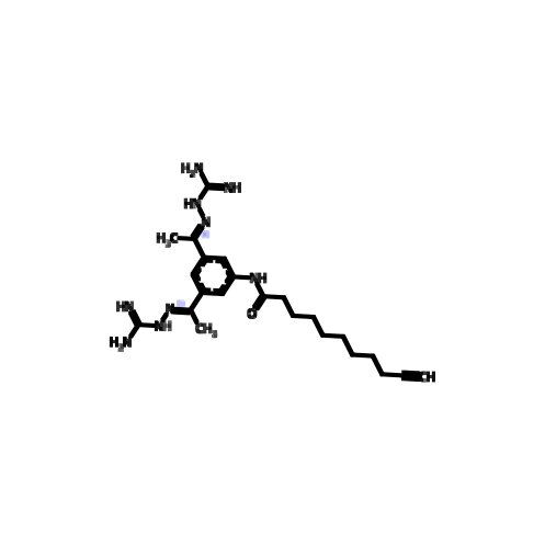 C#CCCCCCCCCC(=O)Nc1cc(/C(C)=N/NC(=N)N)cc(/C(C)=N/NC(=N)N)c1